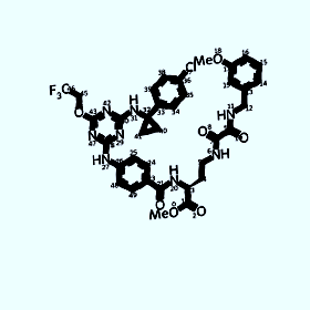 COC(=O)[C@H](CCNC(=O)C(=O)NCc1cccc(OC)c1)NC(=O)c1ccc(Nc2nc(NC3(c4ccc(Cl)cc4)CC3)nc(OCC(F)(F)F)n2)cc1